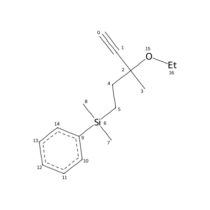 C#CC(C)(CC[Si](C)(C)c1ccccc1)OCC